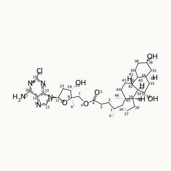 C[C@H](CCC(=O)OC[C@@]1(C)O[C@@H](n2cnc3c(N)nc(Cl)nc32)C[C@@H]1O)[C@H]1CC[C@H]2[C@@H]3[C@@H](O)C[C@@H]4C[C@H](O)CC[C@]4(C)[C@H]3CC[C@]12C